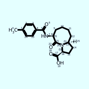 Cc1ccc(C(=O)N[C@H]2CCCC[C@H]3CC[C@@H](C(=O)O)N3C2=O)cc1